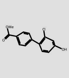 COC(=O)c1ccc(-c2ccc(O)cc2Cl)cc1